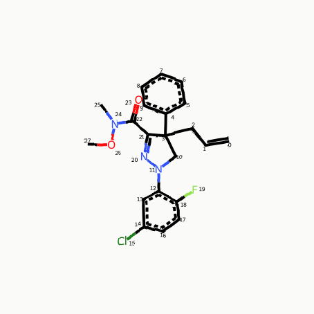 C=CCC1(c2ccccc2)CN(c2cc(Cl)ccc2F)N=C1C(=O)N(C)OC